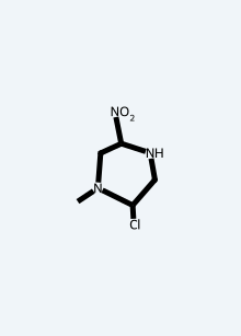 CN1CC([N+](=O)[O-])NCC1Cl